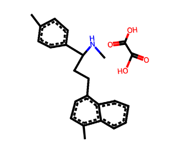 CNC(CCc1ccc(C)c2ccccc12)c1ccc(C)cc1.O=C(O)C(=O)O